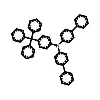 c1ccc(-c2ccc(N(c3ccc(-c4ccccc4)cc3)c3ccc(C(c4ccccc4)(c4ccccc4)c4ccccc4)cc3)cc2)cc1